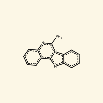 Pc1nc2ccccc2c2nc3ccccc3n12